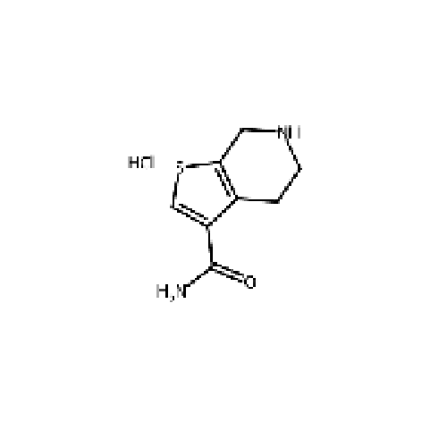 Cl.NC(=O)c1csc2c1CCNC2